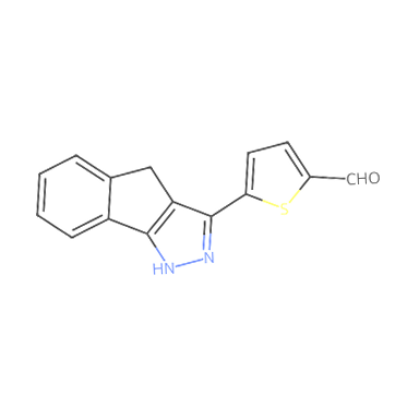 O=Cc1ccc(-c2n[nH]c3c2Cc2ccccc2-3)s1